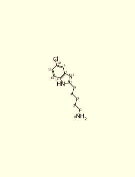 NCCCCCc1nc2cc(Cl)ccc2[nH]1